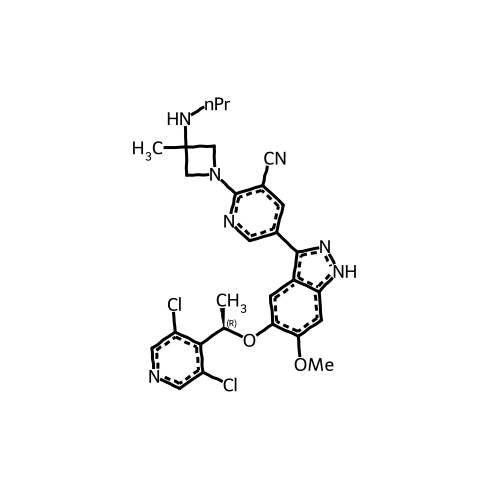 CCCNC1(C)CN(c2ncc(-c3n[nH]c4cc(OC)c(O[C@H](C)c5c(Cl)cncc5Cl)cc34)cc2C#N)C1